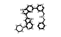 c1ccc(CNCc2cncc(-c3ccc4[nH]nc(-c5cc6c(N7CCCCC7)nccc6[nH]5)c4n3)c2)cc1